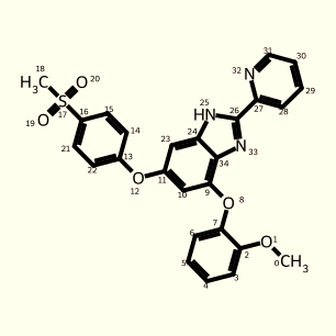 COc1ccccc1Oc1cc(Oc2ccc(S(C)(=O)=O)cc2)cc2[nH]c(-c3ccccn3)nc12